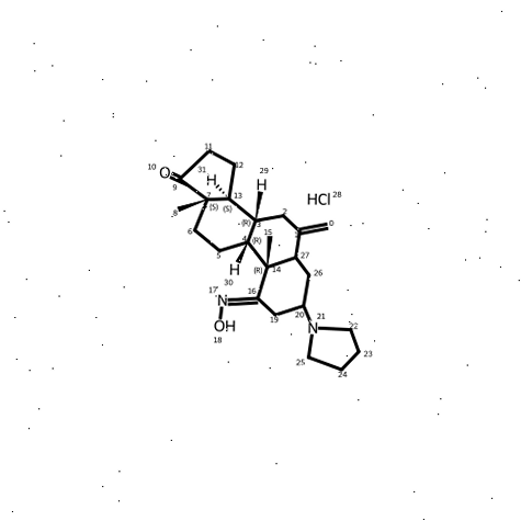 C=C1C[C@@H]2[C@@H](CC[C@]3(C)C(=O)CC[C@@H]23)[C@@]2(C)C(=NO)CC(N3CCCC3)CC12.Cl